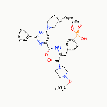 CCCCOP(=O)(O)c1ccc(C[C@H](NC(=O)c2cc(N3CC[C@H](OC)C3)nc(-c3ccccc3)n2)C(=O)N2CCN(OC(=O)O)CC2)cc1